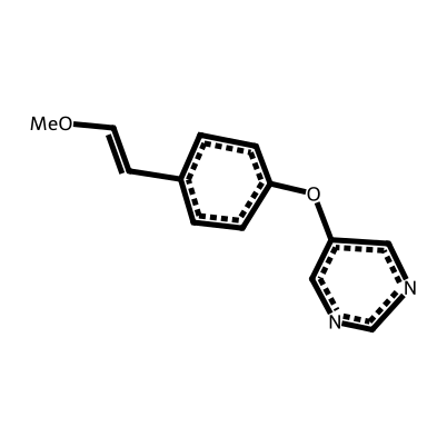 CO/C=C/c1ccc(Oc2cncnc2)cc1